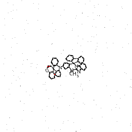 CN1c2cc(N3c4ccccc4C4(c5ccccc5Oc5ccccc54)c4ccccc43)ccc2C2(c3ccccc3-c3ccccc32)n2c1nc1ccccc12